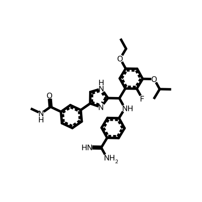 CCOc1cc(OC(C)C)c(F)c(C(Nc2ccc(C(=N)N)cc2)c2nc(-c3cccc(C(=O)NC)c3)c[nH]2)c1